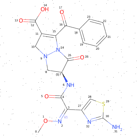 CO/N=C(\C(=O)N[C@H]1CN2CC(C(=O)O)=C(C(=O)c3ccccc3)N2C1=O)c1csc(N)n1